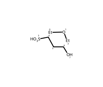 CCOCC.O=S(=O)(O)CCCO